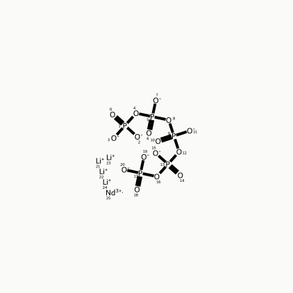 O=P([O-])([O-])OP(=O)([O-])OP(=O)([O-])OP(=O)([O-])OP(=O)([O-])[O-].[Li+].[Li+].[Li+].[Li+].[Nd+3]